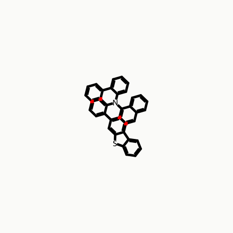 c1ccc(-c2ccccc2N(c2ccccc2-c2ccc3c(c2)sc2ccccc23)c2cccc3ccccc23)cc1